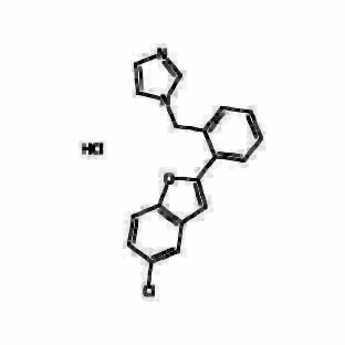 Cl.Clc1ccc2oc(-c3ccccc3Cn3ccnc3)cc2c1